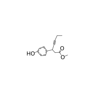 CCC#CC(CC(=O)OC)c1ccc(O)cc1